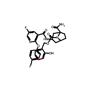 NC(=O)C12CCC(CC(NC(=O)c3cc(F)cnc3Oc3ccc(F)cc3)C1)N2C(=O)OCc1ccccc1O